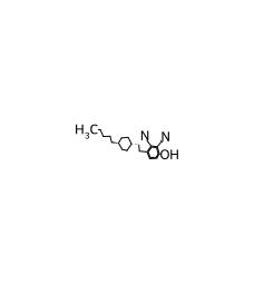 CCCCC[C@H]1CC[C@H](CCc2ccc(O)c(C#N)c2C#N)CC1